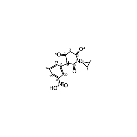 O=C1CC(=O)N(C2CC2)C(=O)N1c1cccc([N+](=O)O)c1